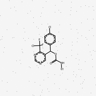 CCNC(=O)OC(c1ccc(Cl)cc1)c1cncnc1C(F)(F)Cl